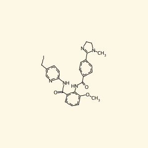 COc1cccc(C(=O)Nc2ccc(CI)cn2)c1NC(=O)c1ccc(C2=NCCN2C)cc1